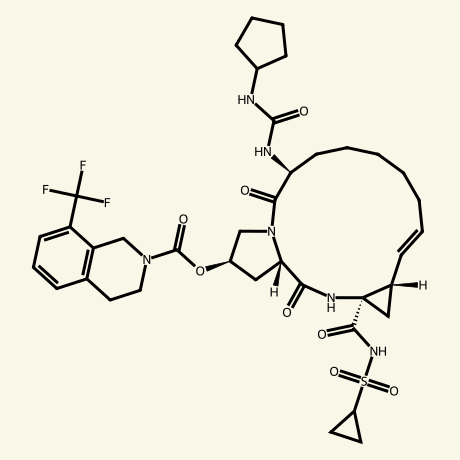 O=C(NC1CCCC1)N[C@H]1CCCCC/C=C/[C@@H]2C[C@@]2(C(=O)NS(=O)(=O)C2CC2)NC(=O)[C@@H]2C[C@@H](OC(=O)N3CCc4cccc(C(F)(F)F)c4C3)CN2C1=O